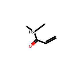 C=CC(=O)[SiH](C)C